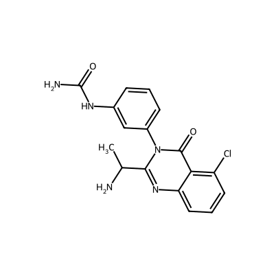 CC(N)c1nc2cccc(Cl)c2c(=O)n1-c1cccc(NC(N)=O)c1